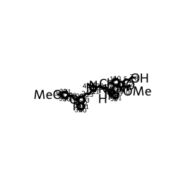 COC(=O)c1c(CCCO)c2ccc(Cl)c(-c3c(CNCc4cc(CCc5cc(OCc6ccc(OC)cc6)c6ncccc6c5)n(C)n4)nn4c3CCC4)c2n1C